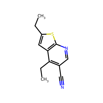 CCc1cc2c(CC)c(C#N)cnc2s1